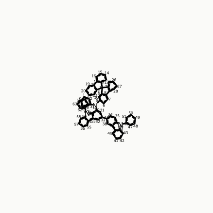 c1ccc(N(c2ccc3c(c2)C2(c4ccccc4-c4ccccc42)c2ccccc2-3)c2cc(-c3ccc4c(c3)c3ccccc3n4-c3ccccc3)cc3c4ccccc4n(-c4ccccc4)c23)cc1